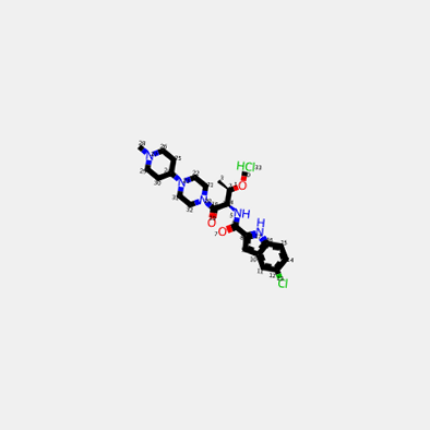 CO[C@H](C)[C@@H](NC(=O)c1cc2cc(Cl)ccc2[nH]1)C(=O)N1CCN(C2CCN(C)CC2)CC1.Cl